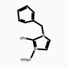 CCCCCCC[n+]1ccn(Cc2ccccc2)c1CCC